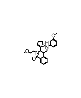 COCCN1C(=O)c2ccccc2C(CNc2cccc(OC)c2)C1c1cccs1